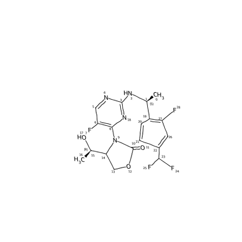 C[C@H](Nc1ncc(F)c(N2C(=O)OCC2[C@@H](C)O)n1)c1ccc(C(F)F)cc1F